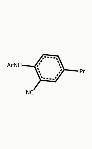 CC(=O)Nc1ccc(C(C)C)cc1C#N